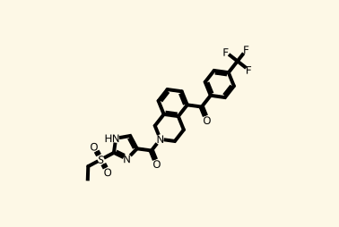 CCS(=O)(=O)c1nc(C(=O)N2CCc3c(cccc3C(=O)c3ccc(C(F)(F)F)cc3)C2)c[nH]1